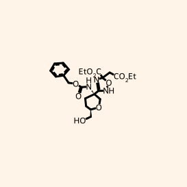 CCOC(=O)CC1(C(=O)OCC)N=C([C@]2(NC(=O)OCc3ccccc3)CC[C@H](CO)OC2)NO1